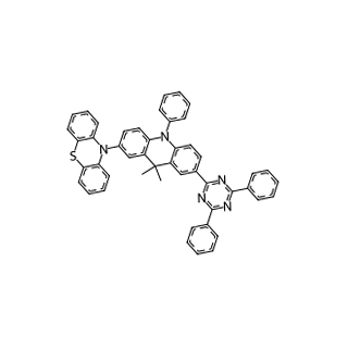 CC1(C)c2cc(-c3nc(-c4ccccc4)nc(-c4ccccc4)n3)ccc2N(c2ccccc2)c2ccc(N3c4ccccc4Sc4ccccc43)cc21